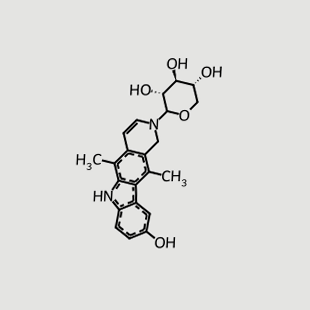 Cc1c2c(c(C)c3c1[nH]c1ccc(O)cc13)CN(C1OC[C@@H](O)[C@H](O)[C@H]1O)C=C2